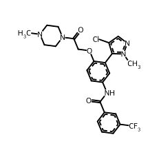 CN1CCN(C(=O)COc2ccc(NC(=O)c3cccc(C(F)(F)F)c3)cc2-c2c(Cl)cnn2C)CC1